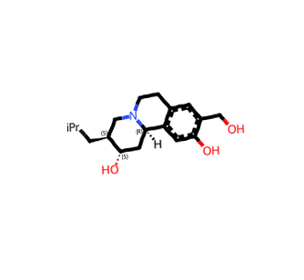 CC(C)C[C@H]1CN2CCc3cc(CO)c(O)cc3[C@H]2C[C@@H]1O